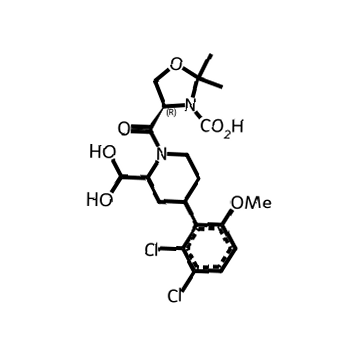 COc1ccc(Cl)c(Cl)c1C1CCN(C(=O)[C@H]2COC(C)(C)N2C(=O)O)C(C(O)O)C1